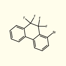 FC1(F)c2ccccc2-c2cccc(Br)c2C1(F)F